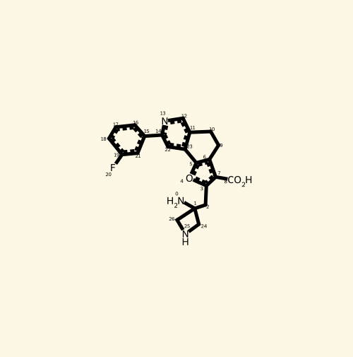 NC1(Cc2oc3c(c2C(=O)O)CCc2cnc(-c4cccc(F)c4)cc2-3)CNC1